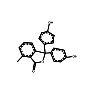 O=C1OC(c2ccc(O)cc2)(c2ccc(O)cc2)c2cccc(I)c21